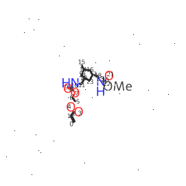 C=CC(=O)OCCOC(=O)NCC1CC(C)CC(CNC(=O)OC)C1